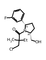 CCC(C)(CCl)C(=O)N1[C@@H](CO)CC[C@H]1c1cccc(F)c1